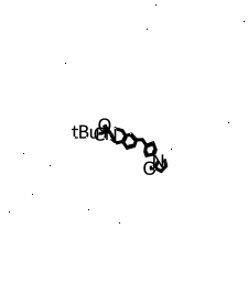 CC(C)(C)OC(=O)N1CCc2ccc(Cc3ccc(N4CCCC4=O)cc3)cc2CC1